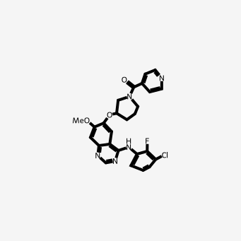 COc1cc2ncnc(Nc3cccc(Cl)c3F)c2cc1OC1CCCN(C(=O)c2ccncc2)C1